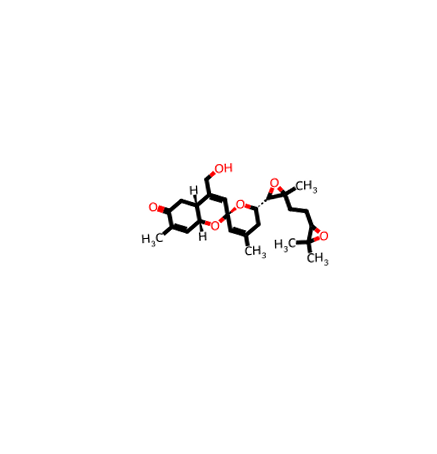 CC1=C[C@]2(C=C(CO)[C@H]3CC(=O)C(C)=C[C@H]3O2)O[C@H](C2OC2(C)CCC2OC2(C)C)C1